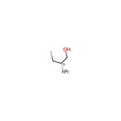 CCC[C@@H](CO)CI